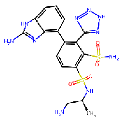 C[C@@H](CN)NS(=O)(=O)c1ccc(-c2cccc3[nH]c(N)nc23)c(-c2nn[nH]n2)c1S(N)(=O)=O